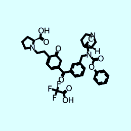 O=C(O)C(F)(F)F.O=C1CC(C(=O)c2cccc(CN(C(=O)Oc3ccccc3)[C@H]3CN4CCC3CC4)c2)=CC=C1CCN1CCC[C@H]1C(=O)O